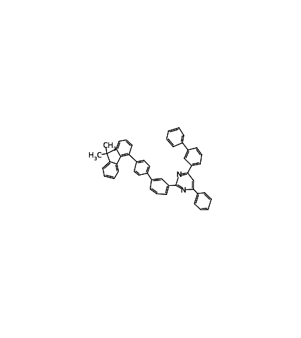 CC1(C)c2ccccc2-c2c(-c3ccc(-c4cccc(-c5nc(-c6ccccc6)cc(-c6cccc(-c7ccccc7)c6)n5)c4)cc3)cccc21